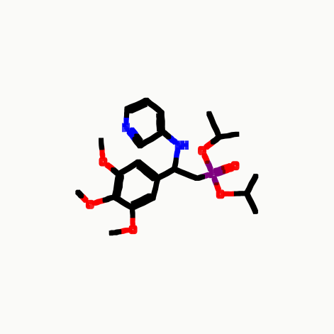 COc1cc(C(CP(=O)(OC(C)C)OC(C)C)Nc2cccnc2)cc(OC)c1OC